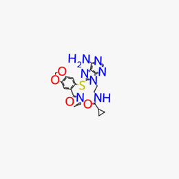 Nc1ncnc2c1nc(Sc1cc3c(cc1-c1ncco1)OCO3)n2CCNC(=O)C1CC1